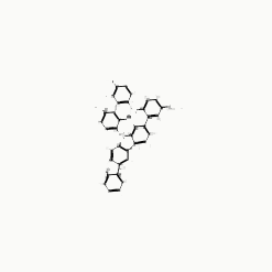 CC(C)(C)c1ccc(N2B3c4cc(C(C)(C)C)ccc4-n4c5cc6oc7ccccc7c6cc5c5ccc(c3c54)-c3cc(C(C)(C)C)ccc32)cc1